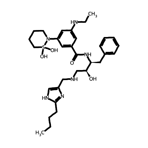 CCCCc1nc(CNC[C@H](O)[C@H](Cc2ccccc2)NC(=O)c2cc(NCC)cc(N3CCCCS3(O)O)c2)c[nH]1